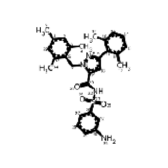 Cc1cc(C)c(Cn2nc(-c3c(C)cccc3C)cc2C(=O)NS(=O)(=O)c2cccc(N)c2)c(C)c1